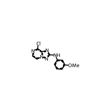 COc1cccc(Nc2nc3c(Cl)nccn3n2)c1